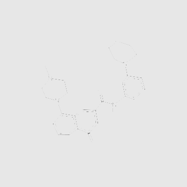 CN1CCN(c2cccc3c(=O)cc(C(=O)Nc4cccc(N5CCOCC5)c4)oc23)CC1